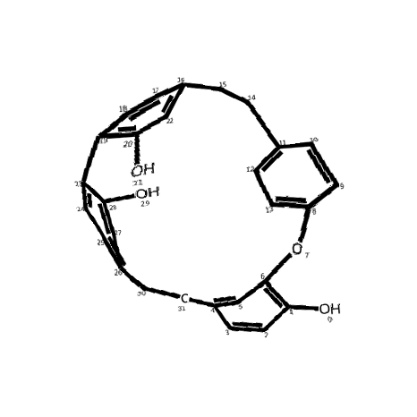 Oc1ccc2cc1Oc1ccc(cc1)CCc1ccc(c(O)c1)-c1ccc(cc1O)CC2